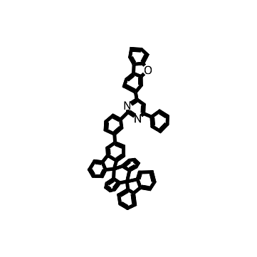 c1ccc(-c2cc(-c3ccc4c(c3)oc3ccccc34)nc(-c3cccc(-c4ccc5c(c4)-c4ccccc4C54c5ccccc5C5(c6ccccc6-c6ccccc65)c5ccccc54)c3)n2)cc1